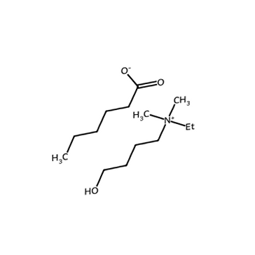 CCCCCC(=O)[O-].CC[N+](C)(C)CCCCO